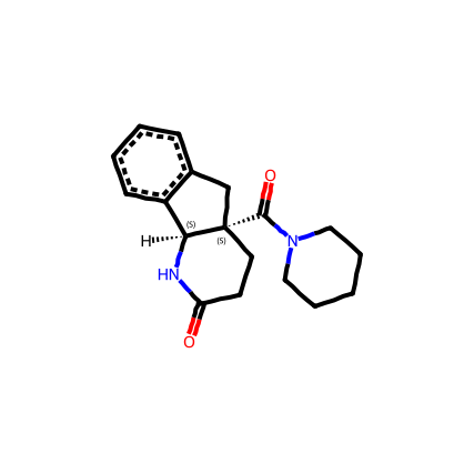 O=C1CC[C@]2(C(=O)N3CCCCC3)Cc3ccccc3[C@@H]2N1